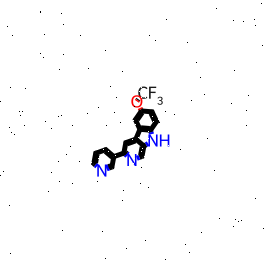 FC(F)(F)Oc1ccc2[nH]c3cnc(-c4cccnc4)cc3c2c1